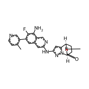 Cc1ccncc1-c1cc2cc(Nc3cc4n(n3)[C@@H]3CC[C@H]4CN(C)C3=O)ncc2c(N)c1F